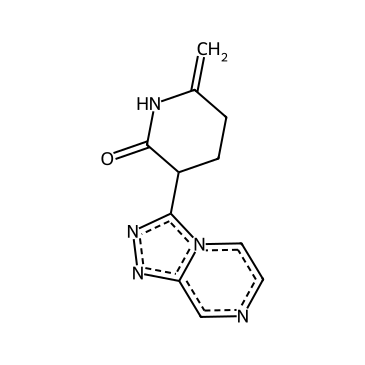 C=C1CCC(c2nnc3cnccn23)C(=O)N1